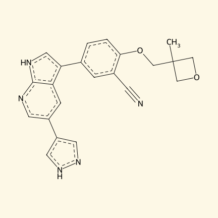 CC1(COc2ccc(-c3c[nH]c4ncc(-c5cn[nH]c5)cc34)cc2C#N)COC1